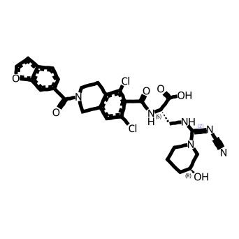 N#C/N=C(/NC[C@H](NC(=O)c1c(Cl)cc2c(c1Cl)CCN(C(=O)c1ccc3ccoc3c1)C2)C(=O)O)N1CCC[C@@H](O)C1